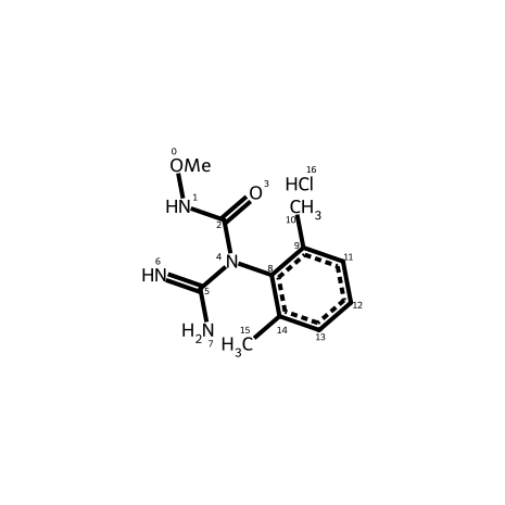 CONC(=O)N(C(=N)N)c1c(C)cccc1C.Cl